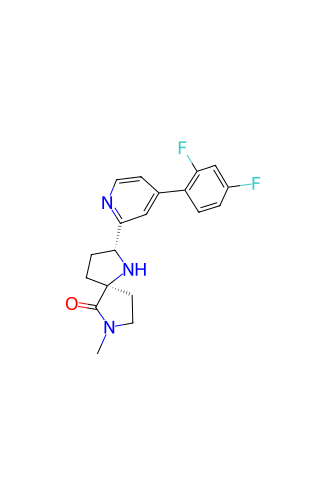 CN1CC[C@@]2(CC[C@H](c3cc(-c4ccc(F)cc4F)ccn3)N2)C1=O